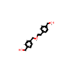 OCc1ccc(C=COCc2ccc(CO)cc2)cc1